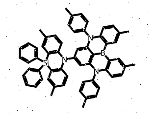 Cc1ccc(N2c3ccc(C)cc3B3c4cc(C)ccc4N(c4ccc(C)cc4)c4cc(N5c6ccc(C)cc6[Si](c6ccccc6)(c6ccccc6)c6cc(C)ccc65)cc2c43)cc1